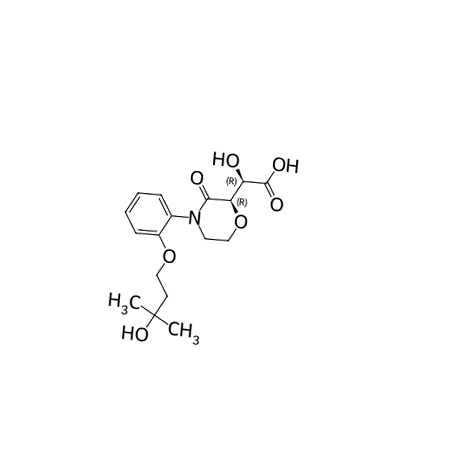 CC(C)(O)CCOc1ccccc1N1CCO[C@H]([C@@H](O)C(=O)O)C1=O